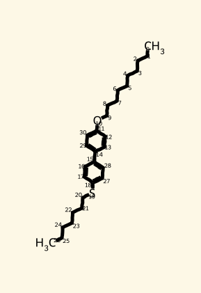 CCCCCCCCCCOc1ccc(-c2ccc(SCCCCCCC)cc2)cc1